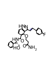 NC(=O)CCOc1c(C(=O)N[C@H](CO)c2ccccc2)ccc2[nH]nc(/C=C/c3ccc(F)cc3)c12